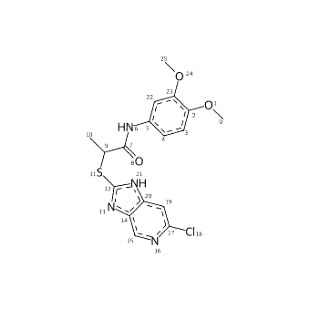 COc1ccc(NC(=O)C(C)Sc2nc3cnc(Cl)cc3[nH]2)cc1OC